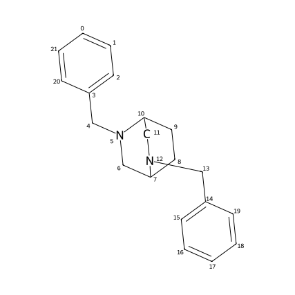 c1ccc(CN2CC3CCC2CN3Cc2ccccc2)cc1